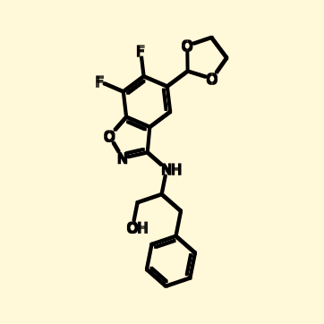 OCC(Cc1ccccc1)Nc1noc2c(F)c(F)c(C3OCCO3)cc12